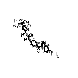 CCc1ccn2c(C(=O)c3ccc(NC(=O)Nc4cc(C(C)(C)C)on4)cc3)cnc2c1